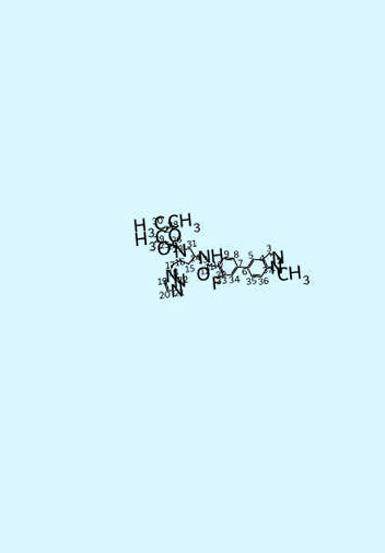 Cn1ncc2cc(-c3ccc(C(=O)NC4CC(Cn5ccnn5)N(C(=O)OC(C)(C)C)C4)c(F)c3)ccc21